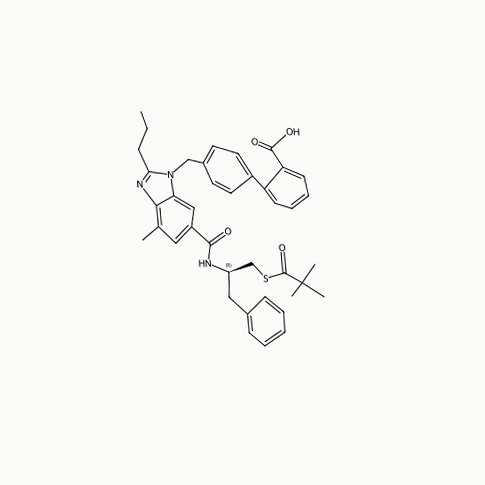 CCCc1nc2c(C)cc(C(=O)N[C@@H](CSC(=O)C(C)(C)C)Cc3ccccc3)cc2n1Cc1ccc(-c2ccccc2C(=O)O)cc1